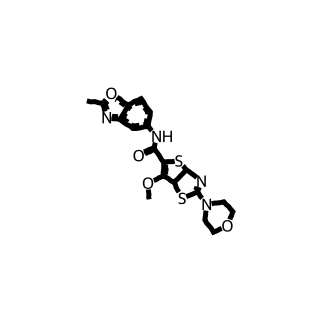 COC1=C(C(=O)Nc2ccc3oc(C)nc3c2)SC2N=C(N3CCOCC3)SC12